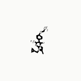 Cc1cn2c(=O)c(-c3ccc(OCC(F)(F)F)cc3)c(C(F)(F)F)nc2n1CC1CC1